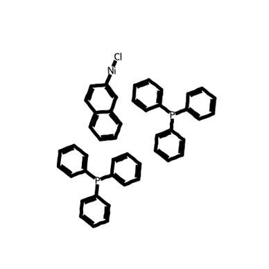 [Cl][Ni][c]1ccc2ccccc2c1.c1ccc(P(c2ccccc2)c2ccccc2)cc1.c1ccc(P(c2ccccc2)c2ccccc2)cc1